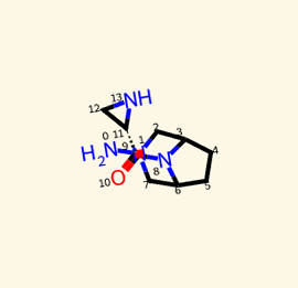 NN1CC2CCC(C1)N2C(=O)[C@@H]1CN1